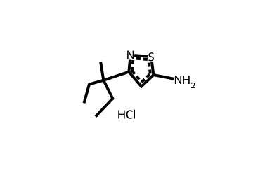 CCC(C)(CC)c1cc(N)sn1.Cl